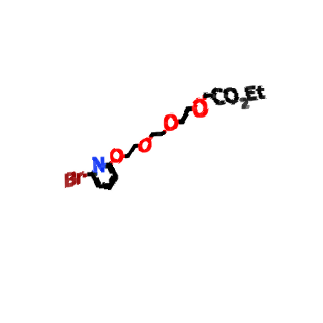 CCOC(=O)COCCOCCOCCOc1cccc(Br)n1